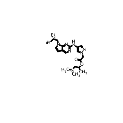 CC[C@H](Cn1ccc2cnc(Nc3cnn(CC(=O)OC(C)CN(C)C)c3)nc21)C(C)C